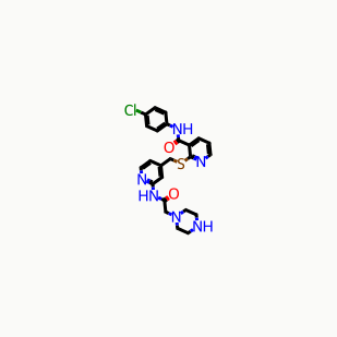 O=C(CN1CCNCC1)Nc1cc(CSc2ncccc2C(=O)Nc2ccc(Cl)cc2)ccn1